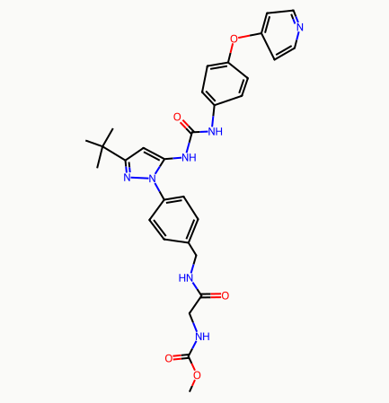 COC(=O)NCC(=O)NCc1ccc(-n2nc(C(C)(C)C)cc2NC(=O)Nc2ccc(Oc3ccncc3)cc2)cc1